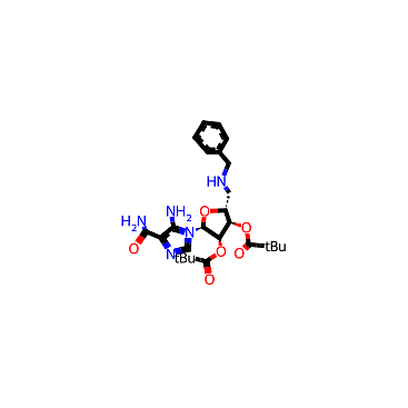 CC(C)(C)C(=O)O[C@@H]1[C@H](OC(=O)C(C)(C)C)[C@@H](CNCc2ccccc2)O[C@H]1n1cnc(C(N)=O)c1N